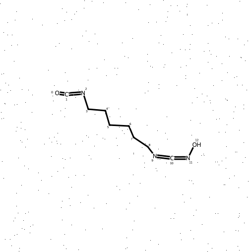 O=C=NCCCCCCN=C=NO